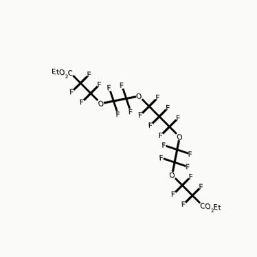 CCOC(=O)C(F)(F)C(F)(F)OC(F)(F)C(F)(F)OC(F)(F)C(F)(F)C(F)(F)OC(F)(F)C(F)(F)OC(F)(F)C(F)(F)C(=O)OCC